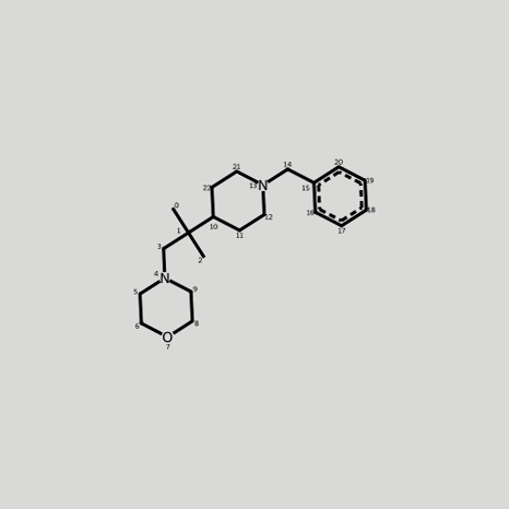 CC(C)(CN1CCOCC1)C1CCN(Cc2ccccc2)CC1